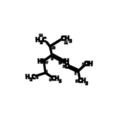 CC(=O)O.CC(C)NC(=N)C(C)C